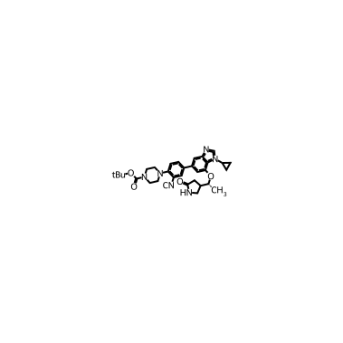 C[C@@H](Oc1cc(-c2ccc(N3CCN(C(=O)OC(C)(C)C)CC3)c(C#N)c2)cc2ncn(C3CC3)c12)C1CNC(=O)C1